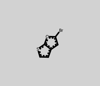 Brc1cc2ccsc2o1